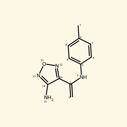 C=C(Nc1ccc(C)cc1)c1nonc1N